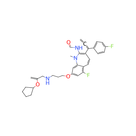 C=C=C(C1=C(NC=O)N(C)c2cc(OCCCNCC(=C)OC3CCCC3)cc(F)c2C=C1)c1ccc(F)cc1